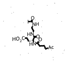 CC(=O)CCCC(=O)N[C@H](CCC(=O)O)C(=O)NCCNC(=O)I